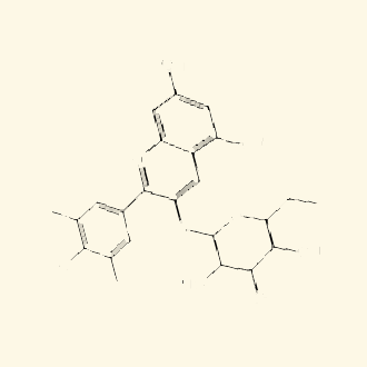 CCC1OC(Oc2cc3c(O)cc(O)cc3[o+]c2-c2cc(C)c(O)c(C)c2)C(O)C(O)C1O